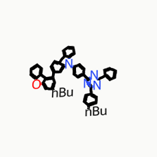 CCCCc1ccc(-c2nc(-c3ccccc3)nc(-c3ccc(-n4c5ccccc5c5ccc(-c6cc(CCCC)cc7oc8ccccc8c67)cc54)cc3)n2)cc1